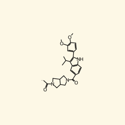 [CH2]C(=O)N1CC2CN(C(=O)c3ccc4[nH]c(-c5ccc(OC)c(OC)c5)c(C(C)C)c4c3)CC2C1